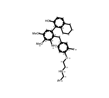 COc1cc(-c2c(O)ccc3c2CCCC3)c(Cc2ccc(OCCNCC(C)C)c(F)c2)c(N)c1OC